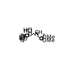 COc1ccc(CCN(C)CCCOc2ccc(S(=O)(=O)c3nccn3C(C)C)cc2)cc1OC.Cl.Cl